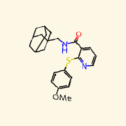 COc1ccc(Sc2ncccc2C(=O)NCC23CC4CC(CC(C4)C2)C3)cc1